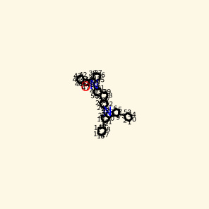 c1ccc(-c2ccc3c(c2)c2cc(-c4ccccc4)ccc2n3-c2ccc3c(ccc4cc(-n5c6ccccc6c6c7ccccc7oc65)ccc43)c2)cc1